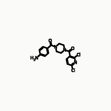 Nc1ccc(C(=O)N2CCN(C(=O)c3ccc(Cl)nc3Cl)CC2)cc1